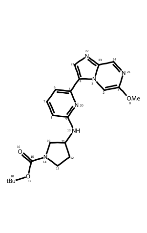 COc1cn2c(-c3cccc(NC4CCN(C(=O)OC(C)(C)C)C4)n3)cnc2cn1